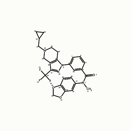 CN(C(=O)c1cccc(-n2nc(C(F)(F)F)c3c2CCN(CC2CC2)C3)c1)c1ccc2c(c1)OCO2